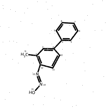 Cc1cc(-c2ccccc2)ccc1N=NO